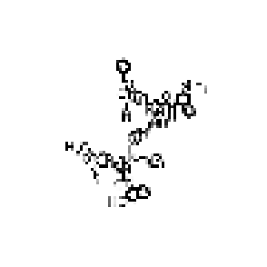 C=CC(=O)N1CCN(c2cc(C(=O)Nc3cc(O)cc4ccccc34)nc(NCCN3CCOCC3)n2)C[C@@H]1CC#N.COc1cc(NC(=O)c2cc(N3CCN(C(=O)OCc4ccccc4)[C@@H](CC#N)C3)nc(NCCN3CCOCC3)n2)c2ccccc2c1